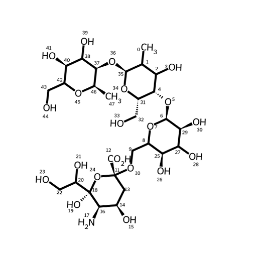 CC1C(O)[C@H](O[C@@H]2OC(CO[C@]3(C(=O)O)C[C@@H](O)[C@@H](N)[C@@](O)(C(O)CO)O3)[C@H](O)C(O)[C@@H]2O)[C@H](CO)O[C@H]1O[C@@H]1C(O)[C@H](O)C(CO)O[C@@H]1C